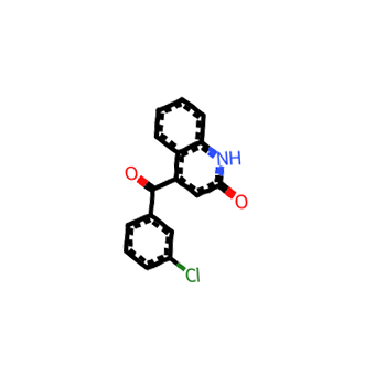 O=C(c1cccc(Cl)c1)c1cc(=O)[nH]c2ccccc12